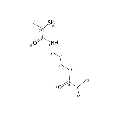 CC(C)C(=O)CCCCNC(=O)C(C)S